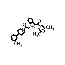 Cc1cccc(C2CCN(C(=O)Cn3nc(C(=O)N4C[C@@H](C)O[C@@H](C)C4)c4c3CCC4)CC2)c1